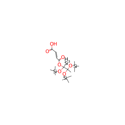 CC(O[Si](C)(C)C)(O[Si](C)(C)C)C([SiH3])(OC(=O)C=CC(=O)O)O[Si](C)(C)C